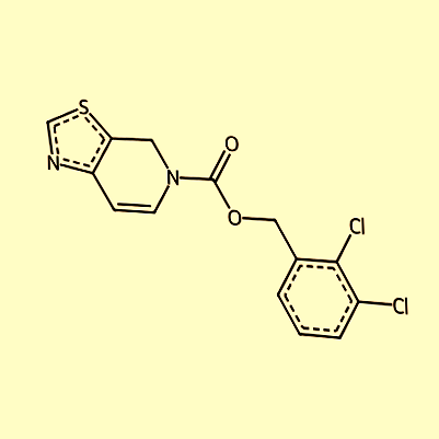 O=C(OCc1cccc(Cl)c1Cl)N1C=Cc2ncsc2C1